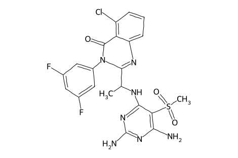 CC(Nc1nc(N)nc(N)c1S(C)(=O)=O)c1nc2cccc(Cl)c2c(=O)n1-c1cc(F)cc(F)c1